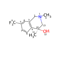 CN1Cc2cc(C(F)(F)F)ccc2[C@](C)(O)C1